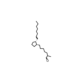 CCCCCCC=C[C@H]1CCC[C@@H]1CCCCCC(C)C=O